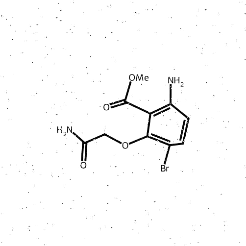 COC(=O)c1c(N)ccc(Br)c1OCC(N)=O